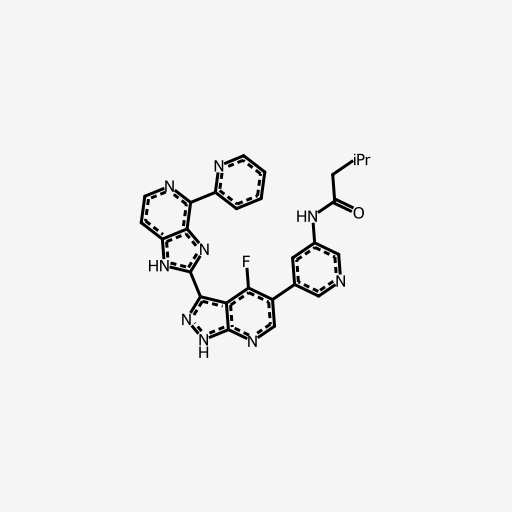 CC(C)CC(=O)Nc1cncc(-c2cnc3[nH]nc(-c4nc5c(-c6ccccn6)nccc5[nH]4)c3c2F)c1